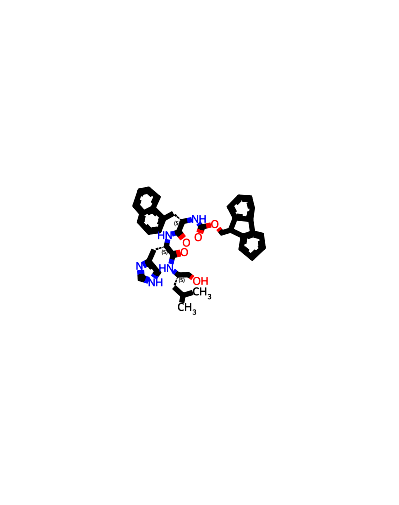 CC(C)C[C@@H](CO)NC(=O)[C@H](Cc1c[nH]cn1)NC(=O)[C@H](Cc1cccc2ccccc12)NC(=O)OCC1c2ccccc2-c2ccccc21